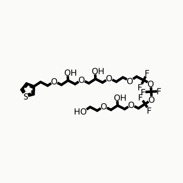 OCCOCC(O)COCC(F)(F)OC(F)(F)OC(F)(F)COCCOCC(O)COCC(O)COCCc1ccsc1